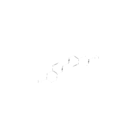 CCCC(=O)Oc1ccc(-c2ccc3c(c2)CCC(CC)C3)cc1